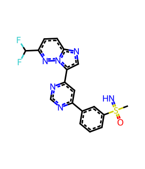 CS(=N)(=O)c1cccc(-c2cc(-c3cnc4ccc(C(F)F)nn34)ncn2)c1